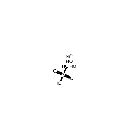 O=S(=O)(O)O.[Ni+2].[OH-].[OH-]